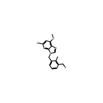 COc1cc(Cl)nc2c1ncn2Cc1cccc(CF)c1C